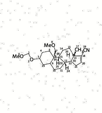 COCOC1CC[C@@]2(COC)C(CC[C@@H]3[C@H]2CC[C@]2(C)C(C#N)=CC[C@@H]32)C1